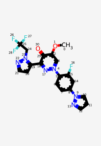 COc1cn(-c2ccc(-n3cccn3)cc2F)nc(-c2ccnn2CC(F)(F)F)c1=O